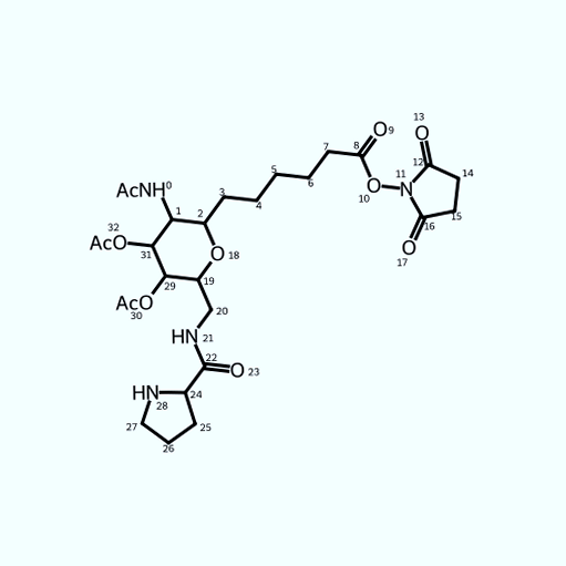 CC(=O)NC1C(CCCCCC(=O)ON2C(=O)CCC2=O)OC(CNC(=O)C2CCCN2)C(OC(C)=O)C1OC(C)=O